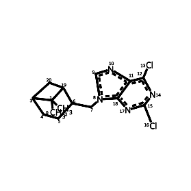 CC1(C)C2CCC(Cn3cnc4c(Cl)nc(Cl)nc43)C1C2